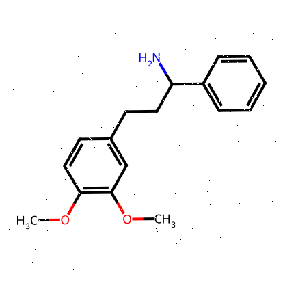 COc1ccc(CCC(N)c2ccccc2)cc1OC